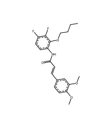 CCCCOc1c(NC(=O)/C=C/c2ccc(OC)c(OC)c2)ccc(F)c1F